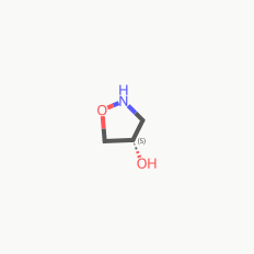 O[C@H]1CNOC1